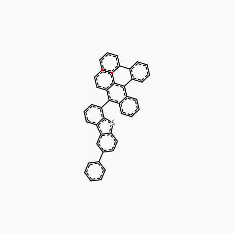 c1ccc(-c2ccc3sc4c(-c5c6ccccc6c(-c6ccccc6-c6ccccc6)c6ccccc56)cccc4c3c2)cc1